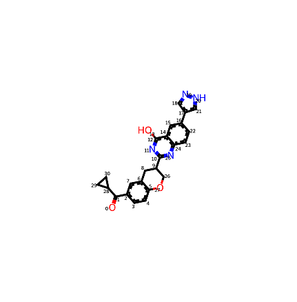 O=C(c1ccc2c(c1)CC(c1nc(O)c3cc(-c4cn[nH]c4)ccc3n1)CO2)C1CC1